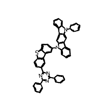 c1ccc(-c2nc(-c3ccccc3)nc(-c3ccc4sc5ccc(-n6c7ccccc7c7cc8c(cc76)c6ccccc6n8-c6ccccc6)cc5c4c3)n2)cc1